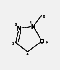 [CH2]N1N=CCO1